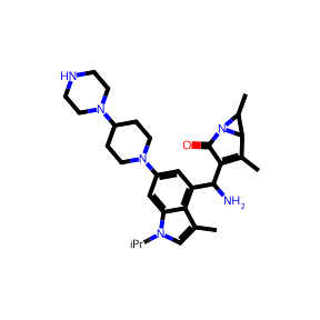 CC1=C(C(N)c2cc(N3CCC(N4CCNCC4)CC3)cc3c2c(C)cn3C(C)C)C(=O)N2C(C)C12